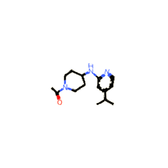 CC(=O)N1CCC(Nc2cc(C(C)C)ccn2)CC1